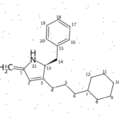 C=C1C=C(CCCC2CCCCC2)[C@H](Cc2ccccc2)N1